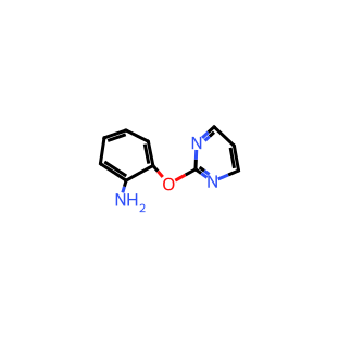 Nc1ccccc1Oc1ncccn1